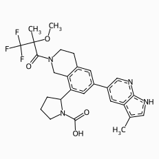 COC(C)(C(=O)N1CCc2cc(-c3cnc4[nH]cc(C)c4c3)cc(C3CCCN3C(=O)O)c2C1)C(F)(F)F